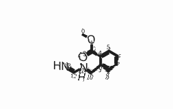 COC(=O)c1ccccc1CNC=N